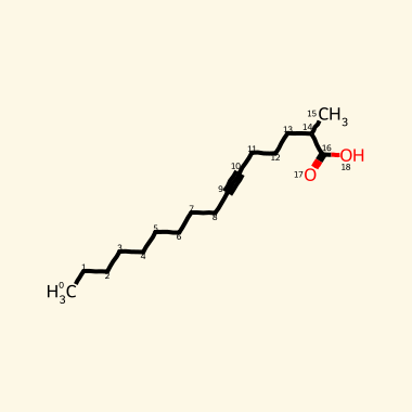 CCCCCCCCCC#CCCCC(C)C(=O)O